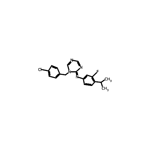 CC(C)c1ccc(N=c2ncncn2Cc2ccc(Cl)cc2)cc1F